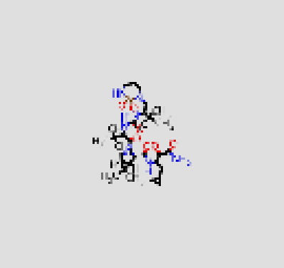 CC(C)(C)C(CN1CCCNS1(=O)=O)NC(=O)N[C@H](C(=O)N1C[C@H]2[C@@H]([C@H]1C(=O)NC(CC1CC1)C(=O)C(N)=O)C2(C)C)C(C)(C)C